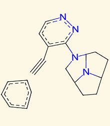 C#Cc1ccnnc1N1CCC2CCC(C1)N2C.c1ccccc1